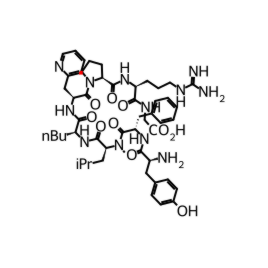 CCCC[C@H](NC(=O)[C@H](CC(C)C)N(C)C(=O)[C@H](Cc1ccccc1)NC(=O)[C@@H](N)Cc1ccc(O)cc1)C(=O)N[C@@H](Cc1ccccn1)C(=O)N1CCC[C@H]1C(=O)N[C@@H](CCCNC(=N)N)C(=O)NCC(=O)O